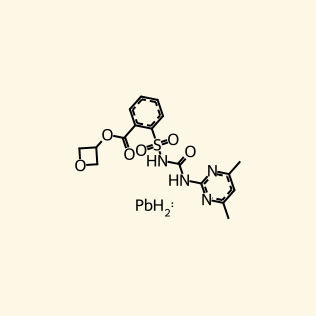 Cc1cc(C)nc(NC(=O)NS(=O)(=O)c2ccccc2C(=O)OC2COC2)n1.[PbH2]